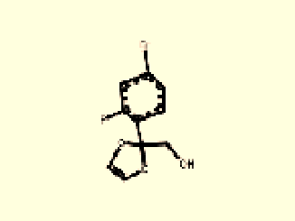 OCC1(c2ccc(Br)cc2F)OC=CO1